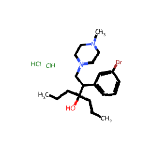 CCCC(O)(CCC)C(CN1CCN(C)CC1)c1cccc(Br)c1.Cl.Cl